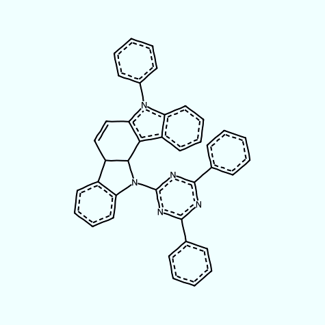 C1=CC2c3ccccc3N(c3nc(-c4ccccc4)nc(-c4ccccc4)n3)C2c2c1n(-c1ccccc1)c1ccccc21